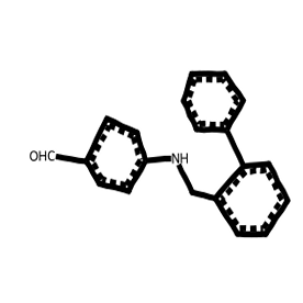 O=Cc1ccc(NCc2ccccc2-c2ccccc2)cc1